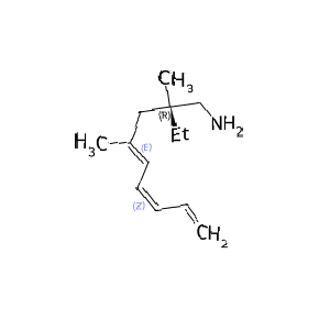 C=C/C=C\C=C(/C)C[C@@](C)(CC)CN